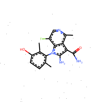 Cc1ccc(O)c(C)c1-n1c(N)c(C(N)=O)c2c(C)ncc(F)c21